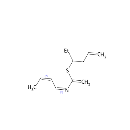 C=CCC(CC)SC(=C)/N=C\C=C/C